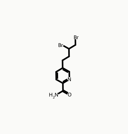 NC(=O)c1ccc(CCC(Br)CBr)cn1